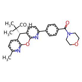 Cc1ccc2c(n1)Oc1nc(-c3ccc(C(=O)N4CCOCC4)cc3)ccc1[C@H]2C(C)(C)C(=O)O